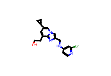 OCCc1cc(C2CC2)cn2cc(CNc3ccnc(Br)c3)nc12